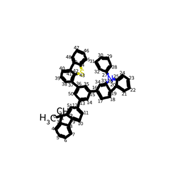 CC1(C)c2ccccc2-c2ccc(-c3cc(-c4ccc5c6ccccc6n(-c6ccccc6)c5c4)cc(-c4cccc5c4sc4ccccc45)c3)cc21